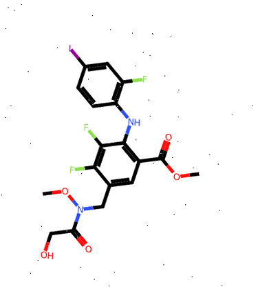 COC(=O)c1cc(CN(OC)C(=O)CO)c(F)c(F)c1Nc1ccc(I)cc1F